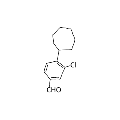 O=Cc1ccc(C2CCCCCC2)c(Cl)c1